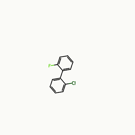 Fc1ccccc1-c1ccccc1Cl